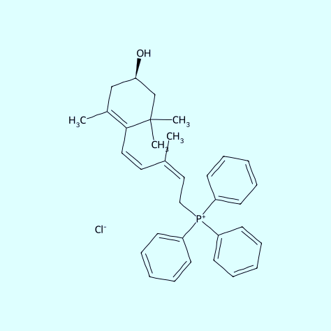 CC1=C(/C=C\C(C)=C/C[P+](c2ccccc2)(c2ccccc2)c2ccccc2)C(C)(C)C[C@H](O)C1.[Cl-]